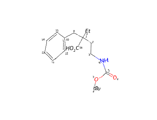 CCC(CCNC(=O)OC(C)(C)C)(Cc1ccccc1)C(=O)O